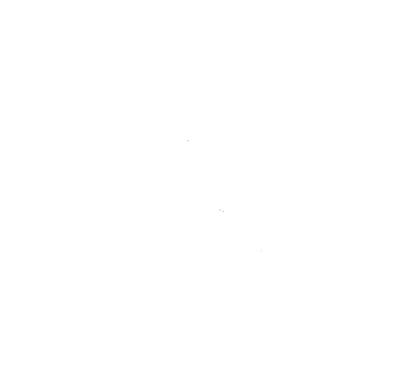 CCn1cc(CCO)c2c(O)c(F)ccc21